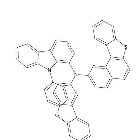 c1ccc(-n2c3ccccc3c3cccc(N(c4ccc5oc6ccccc6c5c4)c4ccc5ccc6sc7ccccc7c6c5c4)c32)cc1